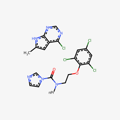 CCCN(CCOc1c(Cl)cc(Cl)cc1Cl)C(=O)n1ccnc1.Cc1cc2c(Cl)ncnc2[nH]1